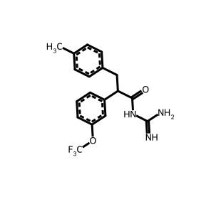 Cc1ccc(CC(C(=O)NC(=N)N)c2cccc(OC(F)(F)F)c2)cc1